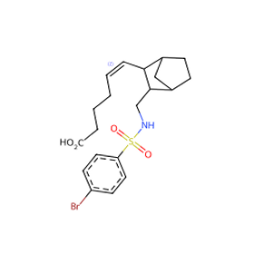 O=C(O)CCC/C=C\C1C2CCC(C2)C1CNS(=O)(=O)c1ccc(Br)cc1